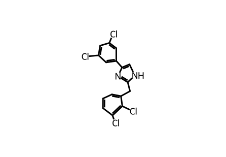 Clc1cc(Cl)cc(-c2c[nH]c(Cc3cccc(Cl)c3Cl)n2)c1